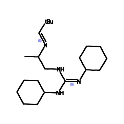 [CH2]C(C)(C)/C=N/C(C)CN/C(=N\C1CCCCC1)NC1CCCCC1